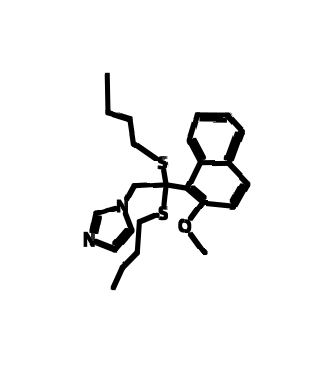 CCCCSC(Cn1ccnc1)(SCCCC)c1c(OC)ccc2ccccc12